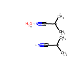 CC(C)C#N.CC(C)C#N.O